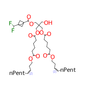 CCCCC/C=C\CCOC(=O)CCCCC(=O)OCC(CO)(COC(=O)CCCCC(=O)OCC/C=C\CCCCC)COC(=O)C12CC(C(F)F)(C1)C2